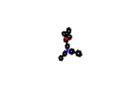 c1ccc(-c2ccc(N(c3ccc(-c4ccccc4)cc3)c3ccc(-c4ccc(-c5cccc6c5C5(CCC7CC8CC5C8C7)c5ccccc5-6)cc4)cc3)cc2)cc1